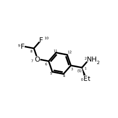 CC[C@H](N)c1ccc(OC(F)F)cc1